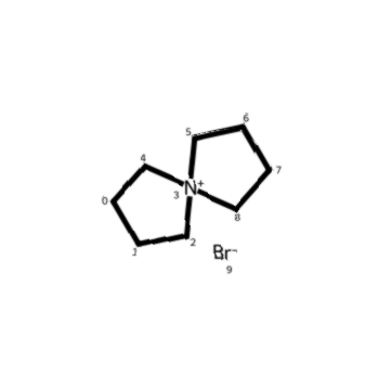 C1CC[N+]2(C1)CCCC2.[Br-]